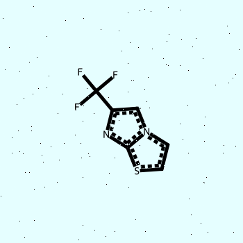 FC(F)(F)c1[c]n2ccsc2n1